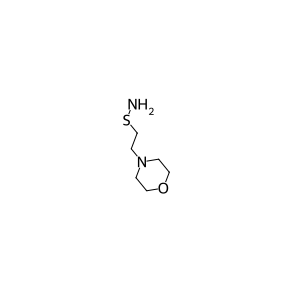 NSCCN1CCOCC1